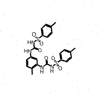 Cc1ccc(S(=O)(=O)NC(=O)Nc2ccc(C)c(NC(=O)NS(=O)(=O)c3ccc(C)cc3)c2)cc1